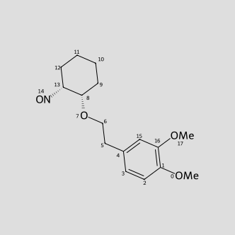 COc1ccc(CCO[C@H]2CCCC[C@H]2N=O)cc1OC